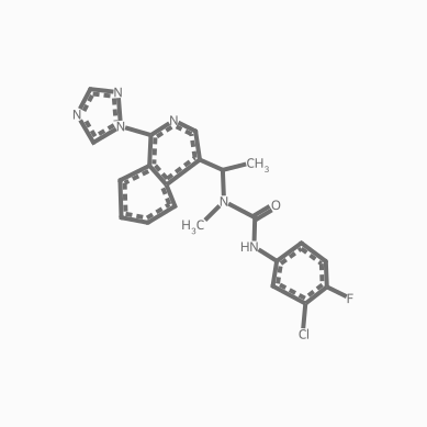 CC(c1cnc(-n2cncn2)c2ccccc12)N(C)C(=O)Nc1ccc(F)c(Cl)c1